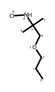 CCCOCC(C)(C)NCl